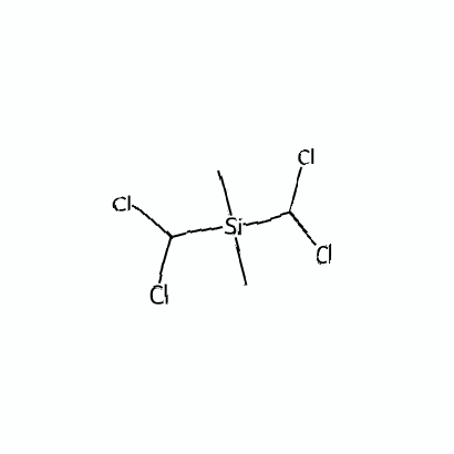 C[Si](C)(C(Cl)Cl)C(Cl)Cl